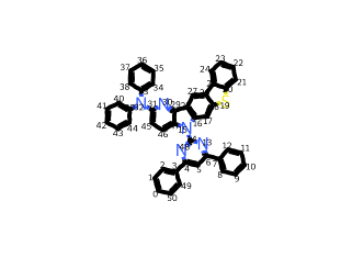 c1ccc(-c2cc(-c3ccccc3)nc(-n3c4cc5sc6ccccc6c5cc4c4nc(N(c5ccccc5)c5ccccc5)ccc43)n2)cc1